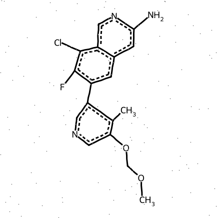 COCOc1cncc(-c2cc3cc(N)ncc3c(Cl)c2F)c1C